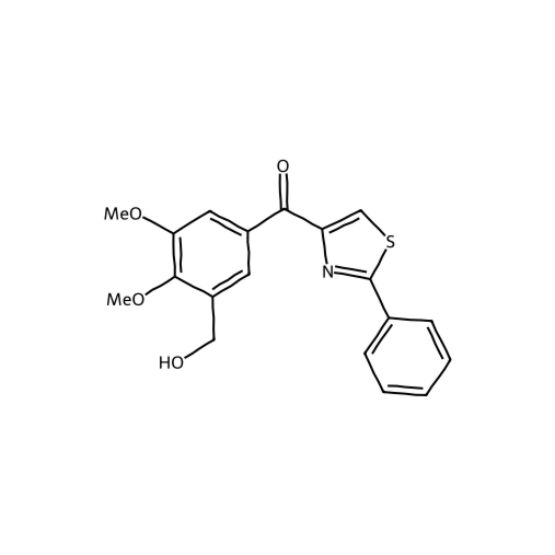 COc1cc(C(=O)c2csc(-c3ccccc3)n2)cc(CO)c1OC